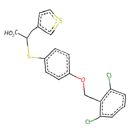 O=C(O)C(Sc1ccc(OCc2c(Cl)cccc2Cl)cc1)c1ccsc1